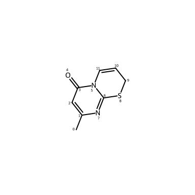 Cc1cc(=O)n2c(n1)SCC=C2